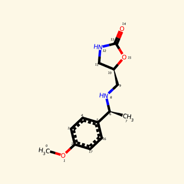 COc1ccc([C@H](C)NC[C@H]2CNC(=O)O2)cc1